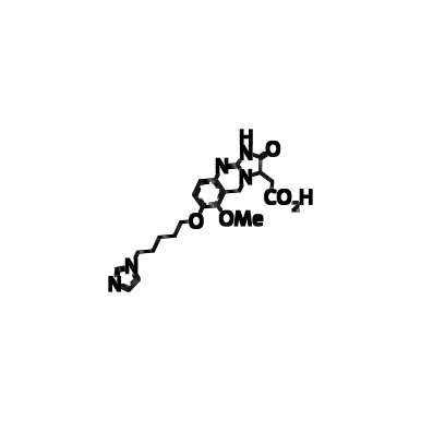 COc1c(OCCCCCn2ccnc2)ccc2c1CN1C(=N2)NC(=O)C1CC(=O)O